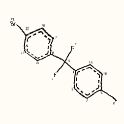 Cc1ccc(C(F)(F)c2ccc(Br)cc2)cc1